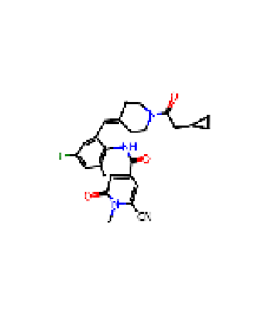 Cc1cc(F)cc(C=C2CCN(C(=O)CC3CC3)CC2)c1NC(=O)c1cc(C#N)n(C)c(=O)c1